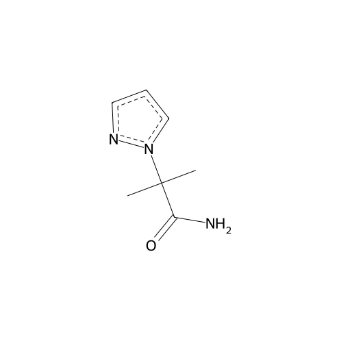 CC(C)(C(N)=O)n1cccn1